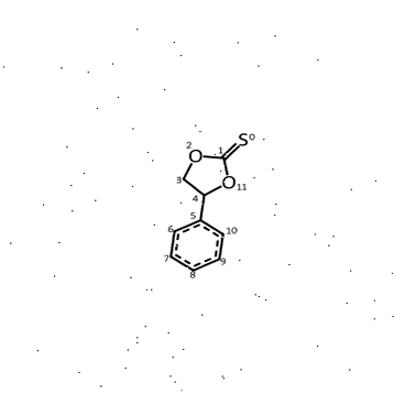 S=C1OCC(c2ccccc2)O1